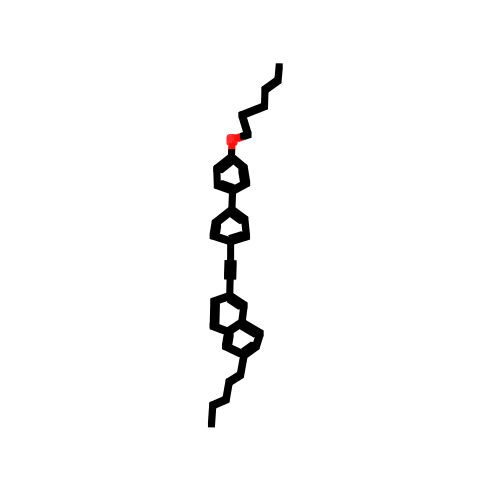 CCCCCCOc1ccc(-c2ccc(C#Cc3ccc4cc(CCCCC)ccc4c3)cc2)cc1